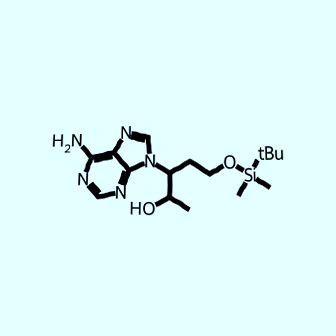 CC(O)C(CCO[Si](C)(C)C(C)(C)C)n1cnc2c(N)ncnc21